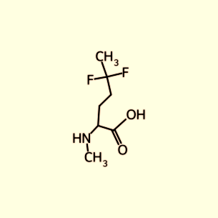 CNC(CCC(C)(F)F)C(=O)O